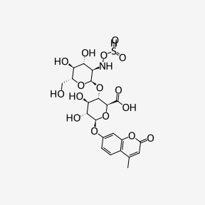 Cc1cc(=O)oc2cc(O[C@@H]3O[C@H](C(=O)O)[C@@H](O[C@H]4O[C@H](CO)[C@@H](O)[C@H](O)[C@H]4NO[SH](=O)=O)[C@H](O)[C@H]3O)ccc12